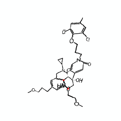 COCCCc1cc(CN(C(=O)[C@H]2CNCC[C@]2(O)c2ccn(CCCOc3c(Cl)cc(C)cc3Cl)c(=O)c2)C2CC2)cc(OCCOC)c1